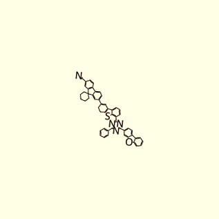 N#Cc1ccc2c(c1)C1(CCCCC1)c1cc(C3=Cc4c(sc5c(-c6nc(-c7ccccc7)nc(-c7ccc8c(c7)oc7ccccc78)n6)cccc45)CC3)ccc1-2